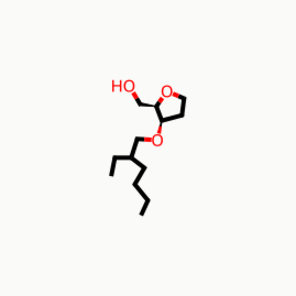 CCCCC(CC)CO[C@@H]1CCO[C@@H]1CO